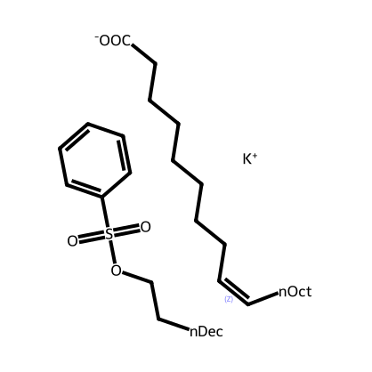 CCCCCCCC/C=C\CCCCCCCC(=O)[O-].CCCCCCCCCCCCOS(=O)(=O)c1ccccc1.[K+]